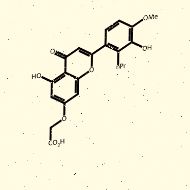 CCCc1c(-c2cc(=O)c3c(O)cc(OCC(=O)O)cc3o2)ccc(OC)c1O